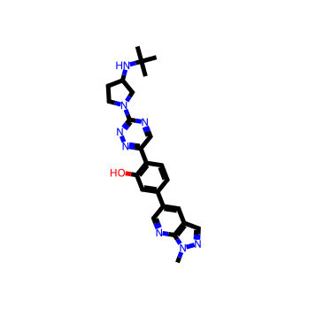 Cn1ncc2cc(-c3ccc(-c4cnc(N5CCC(NC(C)(C)C)C5)nn4)c(O)c3)cnc21